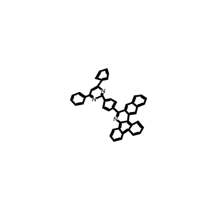 c1ccc(-c2cc(-c3ccccc3)nc(-c3ccc(-c4nc5c6ccccc6c6ccccc6c5c5cc6ccccc6cc45)cc3)n2)cc1